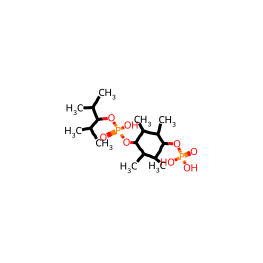 CC(C)C(OP(=O)(O)OC1C(C)C(C)C(OP(=O)(O)O)C(C)C1C)C(C)C